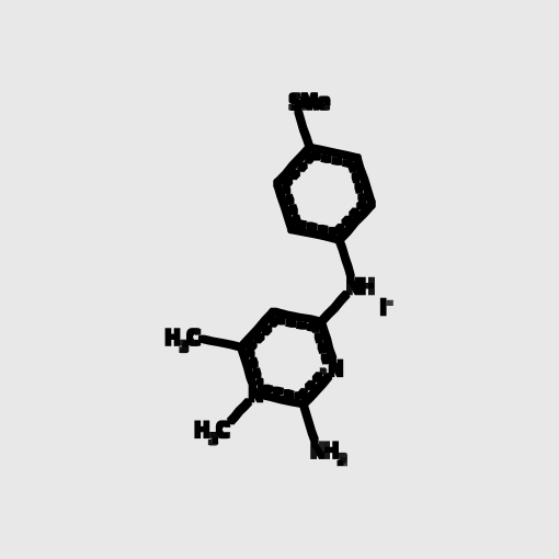 CSc1ccc(Nc2cc(C)[n+](C)c(N)n2)cc1.[I-]